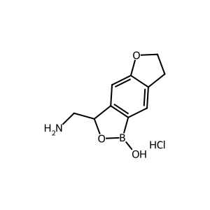 Cl.NCC1OB(O)c2cc3c(cc21)OCC3